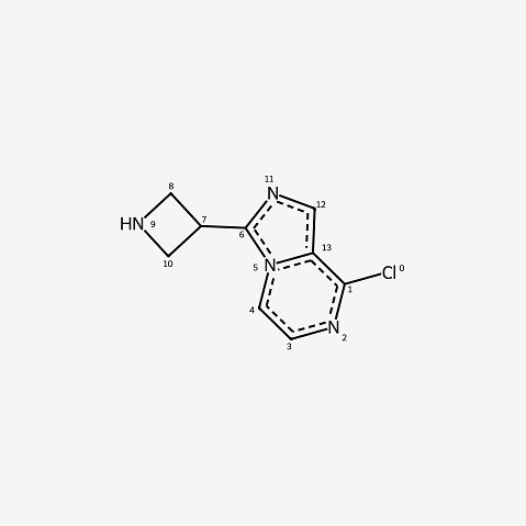 Clc1nccn2c(C3CNC3)ncc12